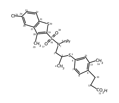 CCCN(CC(C)Sc1ccc(CCC(=O)O)c(C)c1)S(=O)(=O)c1sc2ccc(Cl)cc2c1C